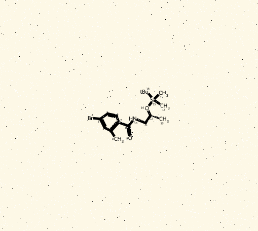 Cc1cc(Br)ccc1C(=O)NC[C@H](C)O[Si](C)(C)C(C)(C)C